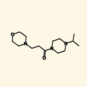 CC(C)N1CCN(C(=O)CCN2CCOCC2)CC1